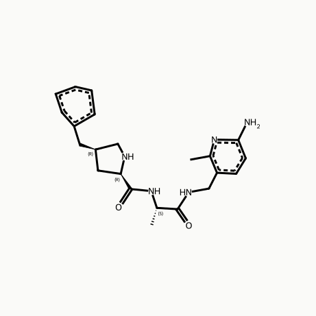 Cc1nc(N)ccc1CNC(=O)[C@H](C)NC(=O)[C@H]1C[C@@H](Cc2ccccc2)CN1